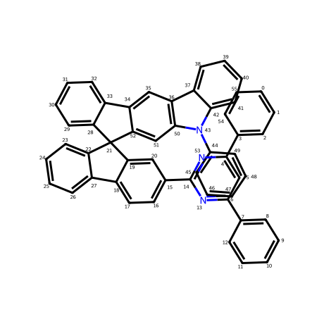 c1ccc(-c2cc(-c3ccccc3)nc(-c3ccc4c(c3)C3(c5ccccc5-4)c4ccccc4-c4cc5c6ccccc6n(-c6ccccc6)c5cc43)n2)cc1